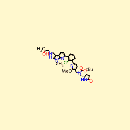 COc1nc(-c2cccc(-c3ccc4c(CNC[C@H](C)O)cn(C)c4n3)c2Cl)ccc1CN(C[C@@H]1CCC(=O)N1)C(=O)OC(C)(C)C